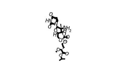 CO[C@H](CCO[P@]1(=O)OC[C@H]2O[C@@H](n3ccc(=O)[nH]c3=O)[C@](C)(N)[C@@H]2O1)C(=O)OC(C)C